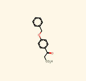 O=C(O)CC(=O)c1ccc(OCc2ccccc2)cc1